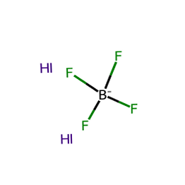 F[B-](F)(F)F.I.I